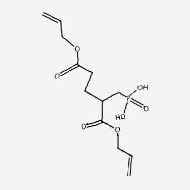 C=CCOC(=O)CCC(CP(=O)(O)O)C(=O)OCC=C